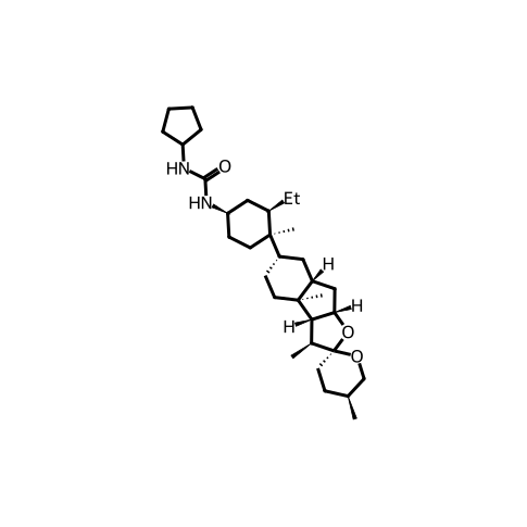 CC[C@@H]1C[C@H](NC(=O)NC2CCCC2)CC[C@]1(C)[C@H]1CC[C@@]2(C)[C@H](C1)C[C@@H]1O[C@]3(CC[C@H](C)CO3)[C@@H](C)[C@@H]12